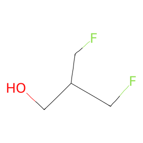 OCC(CF)CF